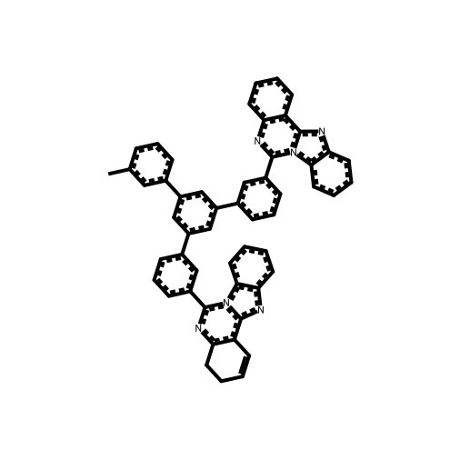 Cc1cccc(-c2cc(-c3cccc(-c4nc5c(c6nc7ccccc7n46)C=CCC5)c3)cc(-c3cccc(-c4nc5ccccc5c5nc6ccccc6n45)c3)c2)c1